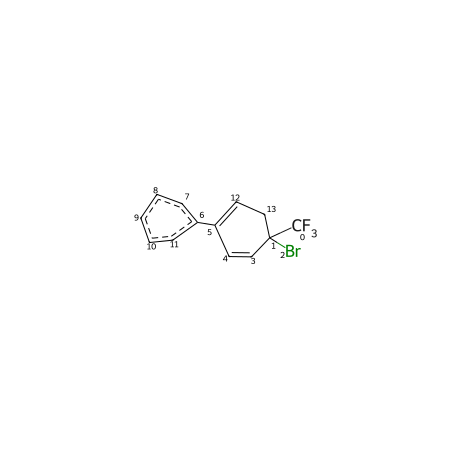 FC(F)(F)C1(Br)C=CC(c2ccccc2)=CC1